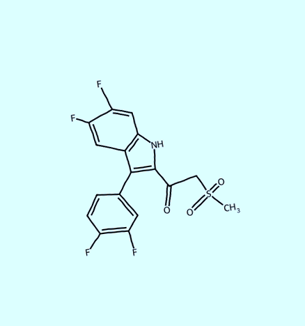 CS(=O)(=O)CC(=O)c1[nH]c2cc(F)c(F)cc2c1-c1ccc(F)c(F)c1